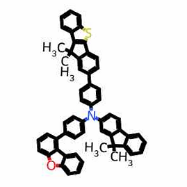 CC1(C)c2ccccc2-c2ccc(N(c3ccc(-c4ccc5c(c4)C(C)(C)c4c-5sc5ccccc45)cc3)c3ccc(-c4cccc5oc6ccccc6c45)cc3)cc21